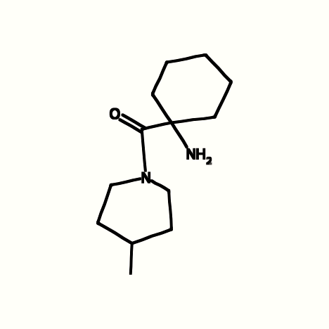 CC1CCN(C(=O)C2(N)CCCCC2)CC1